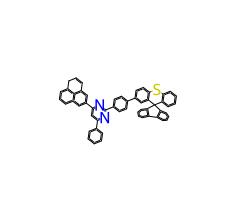 C1=Cc2cc(-c3cc(-c4ccccc4)nc(-c4ccc(-c5ccc6c(c5)C5(c7ccccc7S6)c6ccccc6-c6ccccc65)cc4)n3)cc3cccc(c23)C1